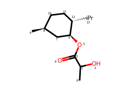 CC(O)C(=O)O[C@H]1C[C@@H](C)CC[C@@H]1C(C)C